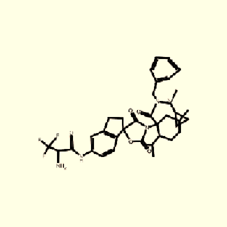 CC1CCC(C(C)C)C(C(=O)N(Cc2ccccc2)[C@@H](C)C2CC2)(N2C(=O)OC3(CCc4cc(NC(=O)C(N)C(F)(F)F)ccc43)C2=O)C1